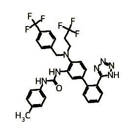 Cc1ccc(NC(=O)Nc2cc(-c3ccccc3-c3nnn[nH]3)ccc2N(CCC(F)(F)F)Cc2ccc(C(F)(F)F)cc2)cc1